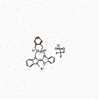 CN1/C2=C3\N(C)c4ccccc4N3C[C@H]3C4c5ccccc5C(c5ccccc54)[C@@H]3CN2c2ccccc21.O=S(=O)([O-])C(F)(F)F.[K+]